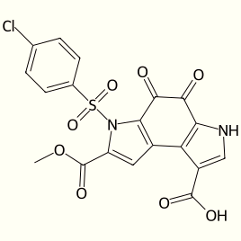 COC(=O)c1cc2c(n1S(=O)(=O)c1ccc(Cl)cc1)C(=O)C(=O)c1[nH]cc(C(=O)O)c1-2